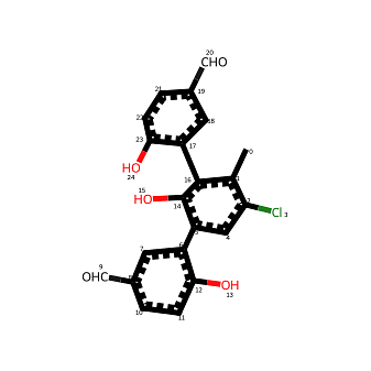 Cc1c(Cl)cc(-c2cc(C=O)ccc2O)c(O)c1-c1cc(C=O)ccc1O